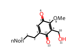 CCCCCCCCCCCC1=CC(=O)C(OC)=C(CO)C1=O